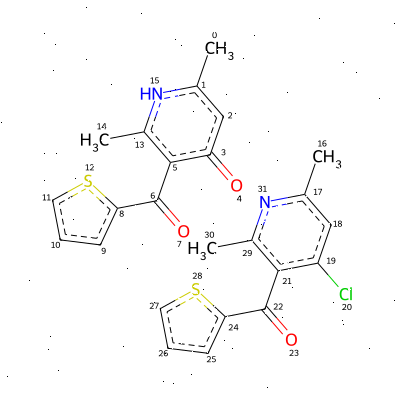 Cc1cc(=O)c(C(=O)c2cccs2)c(C)[nH]1.Cc1cc(Cl)c(C(=O)c2cccs2)c(C)n1